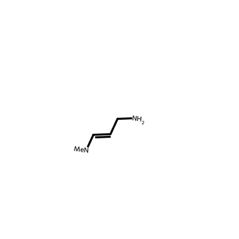 CNC=CCN